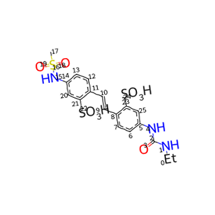 CCNC(=O)Nc1ccc(C=Cc2ccc(NS(C)(=O)=O)cc2S(=O)(=O)O)c(S(=O)(=O)O)c1